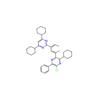 C/C=C(\C=C(/C)c1nc(-c2ccccc2)c(Cl)nc1C1CCCCC1)c1nc(C2CCCCC2)cc(C2CCCCC2)n1